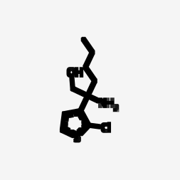 CCCCC(N)(CO)c1ccsc1Cl